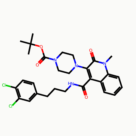 Cn1c(=O)c(N2CCN(C(=O)OC(C)(C)C)CC2)c(C(=O)NCCCc2ccc(Cl)c(Cl)c2)c2ccccc21